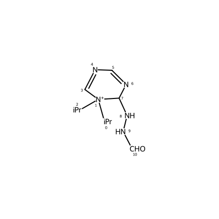 CC(C)[N+]1(C(C)C)C=NC=NC1NNC=O